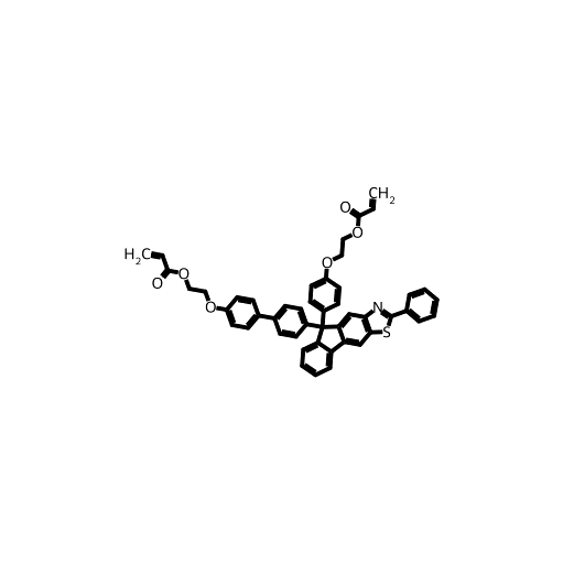 C=CC(=O)OCCOc1ccc(-c2ccc(C3(c4ccc(OCCOC(=O)C=C)cc4)c4ccccc4-c4cc5sc(-c6ccccc6)nc5cc43)cc2)cc1